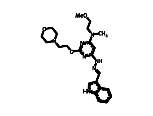 COCCN(C)c1cc(NN=Cc2c[nH]c3ccccc23)nc(OCCN2CCOCC2)n1